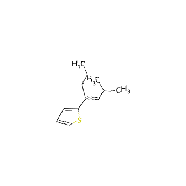 CCC/C(=C\C(C)C)c1cccs1